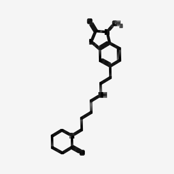 Cn1c(=O)sc2cc(CCNCCCCN3CCCCC3=O)ccc21